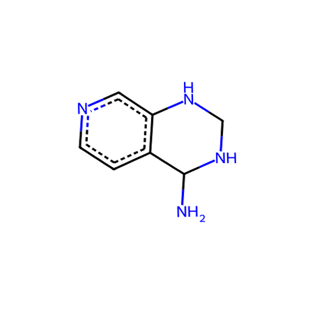 NC1NCNc2cnccc21